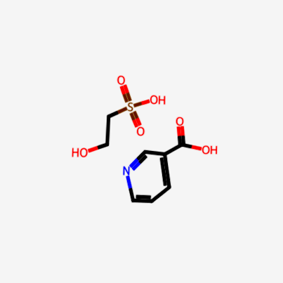 O=C(O)c1cccnc1.O=S(=O)(O)CCO